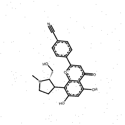 CN1CCC(c2c(O)cc(O)c3c(=O)cc(-c4ccc(C#N)cc4)oc23)[C@H]1CO